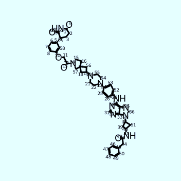 O=C1CC[C@@H](c2cccc(OCC(=O)N3CCC4(CC(N5CCN(c6ccc(Nc7ncnc8c7ncn8C7CC(NC(=O)Cc8ccccc8)C7)cc6)CC5)C4)C3)c2)C(=O)N1